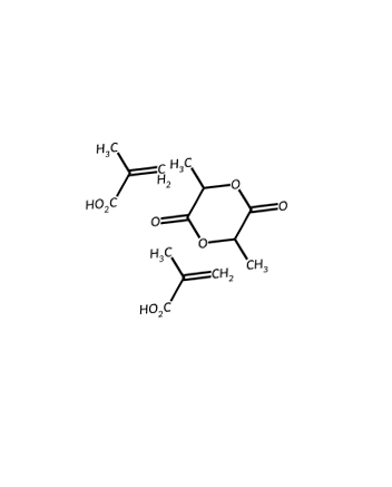 C=C(C)C(=O)O.C=C(C)C(=O)O.CC1OC(=O)C(C)OC1=O